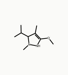 COC1=C(C)C(C(C)C)N(C)N1